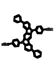 CCCCCCCCc1ccc(-n2c3ccc(-c4ccccc4)cc3c3cc4c(cc32)c2cc(-c3ccccc3)ccc2n4-c2ccc(CCCCCCCC)cc2)cc1